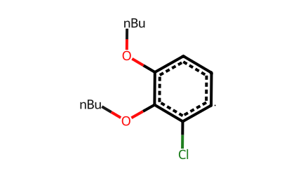 CCCCOc1cc[c]c(Cl)c1OCCCC